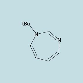 CC(C)(C)N1C=CC=CN=C1